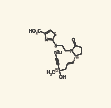 CCCCC#C[C@](C)(O)CC=C[C@H]1CCC(=O)N1CCSc1nc(C(=O)O)cs1